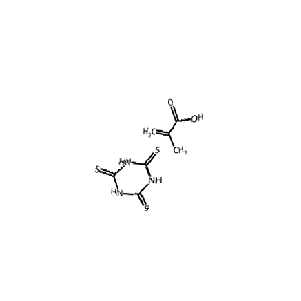 C=C(C)C(=O)O.S=c1[nH]c(=S)[nH]c(=S)[nH]1